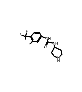 O=C(Nc1ccc(C(F)(F)F)c(F)c1)NC1CCNCC1